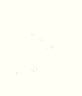 [CH]c1ccc(-c2ccc3c(c2)CN(C)CCN3c2cccc(Cl)c2)nn1